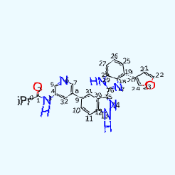 CC(C)C(=O)Nc1cncc(-c2ccc3[nH]nc(-c4nc5c(-c6ccoc6)cccc5[nH]4)c3c2)c1